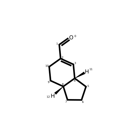 O=CC1=C[C@@H]2CCC[C@@H]2CC1